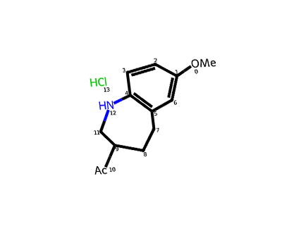 COc1ccc2c(c1)CCC(C(C)=O)CN2.Cl